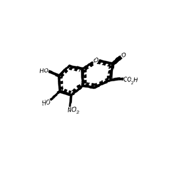 O=C(O)c1cc2c([N+](=O)[O-])c(O)c(O)cc2oc1=O